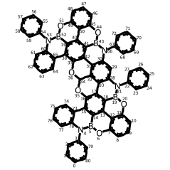 c1ccc(N2B3Oc4cccc5c4-c4c3c(c3c6c4B(O5)N(c4ccccc4)c4cc5c7c(c4-6)C(O3)Oc3c4c6c8c(c3-7)B(Oc3cccc(c3-8)OB6N(c3ccccc3)c3ccccc3-4)N5c3ccccc3)-c3ccccc32)cc1